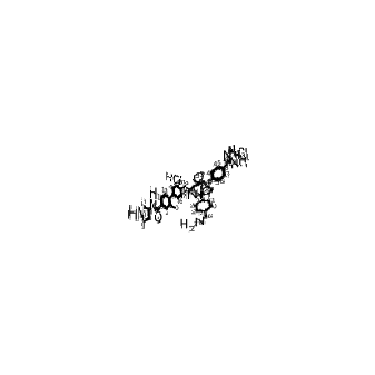 Cc1cc(C(=O)N[C@H]2CCNC2)ccc1-c1ccc(C[C@H](NC(=O)[C@H]2CC[C@H](CN)CC2)C(=O)Nc2ccc(-c3nnc(Cl)[nH]3)cc2)cc1.Cl